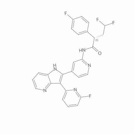 O=C(Nc1cc(-c2[nH]c3cccnc3c2-c2cccc(F)n2)ccn1)[C@@H](CC(F)F)c1ccc(F)cc1